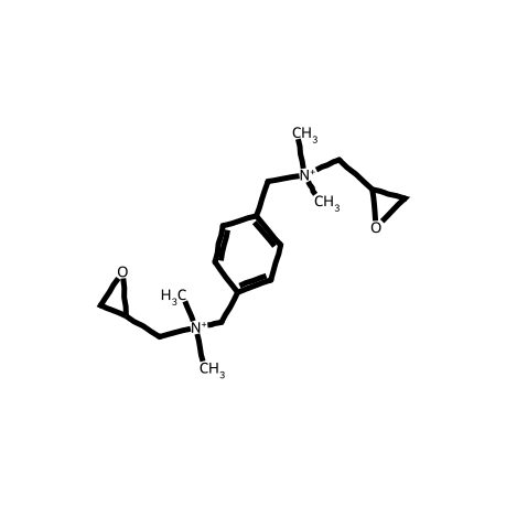 C[N+](C)(Cc1ccc(C[N+](C)(C)CC2CO2)cc1)CC1CO1